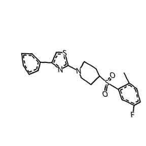 Cc1ccc(F)cc1S(=O)(=O)C1CCN(c2nc(-c3ccccc3)cs2)CC1